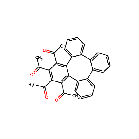 CC(=O)c1c(C(C)=O)c(C(C)=O)c2c(c1C(C)=O)-c1ccccc1-c1ccccc1-c1ccccc1-2